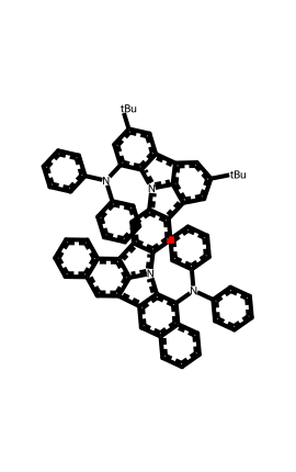 CC(C)(C)c1cc(N(c2ccccc2)c2ccccc2)c2c(c1)c1cc(C(C)(C)C)cc3c4cc5c(cc4n2c31)c1c2ccccc2cc2c3cc4ccccc4c(N(c4ccccc4)c4ccccc4)c3n5c21